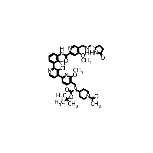 COc1cc(C(=O)Nc2cccc(-c3nccc(-c4ccc(CN(C(=O)OC(C)(C)C)C5CCN(C(C)=O)CC5)c(OC)n4)c3Cl)c2Cl)ncc1CNC[C@@H]1CCC(=O)N1